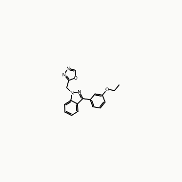 CCOc1cccc(-c2nn(Cc3nnco3)c3ccccc23)c1